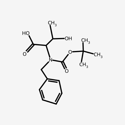 CC(O)C(C(=O)O)N(Cc1ccccc1)C(=O)OC(C)(C)C